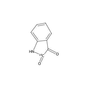 O=C1c2ccccc2N[14C]1=O